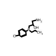 CCCN(CC(O)CN)c1ccc(Cl)cc1